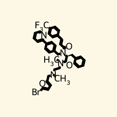 CN(CCN(C)C(=O)[C@H](Cc1ccccc1)N(Cc1ccc(-c2ccccn2)cc1)C(=O)/C=C/c1ccc(C(F)(F)F)cc1)Cc1ccc(Br)o1